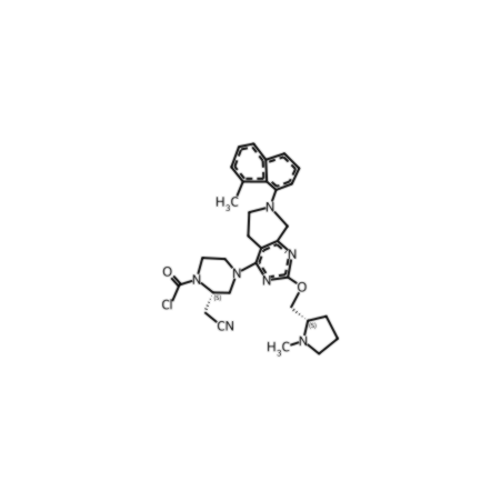 Cc1cccc2cccc(N3CCc4c(nc(OC[C@@H]5CCCN5C)nc4N4CCN(C(=O)Cl)[C@@H](CC#N)C4)C3)c12